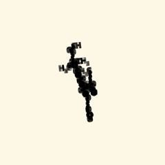 C#CC(=O)OCCCCOc1c(OC)cc(C(=O)Oc2ccc(C(=O)Oc3ccc(OC(=O)c4ccc(OCCCCCOCC5CCC6OC6C5)cc4)c(SC(=S)N(C(=O)CCCCCCC)c4nc5ccccc5s4)c3)cc2)cc1OC